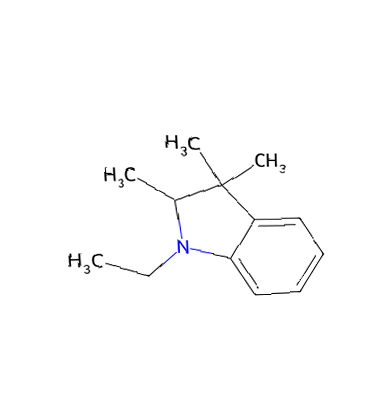 CCN1c2ccccc2C(C)(C)C1C